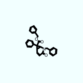 O=C1C=CC2C(N1Cc1ccccc1)C2(C(=O)OCc1ccccc1)c1ccccc1